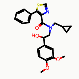 COc1ccc(C(O)CN(CC2CC2)C(=O)c2ncsc2-c2ccccc2)cc1OC